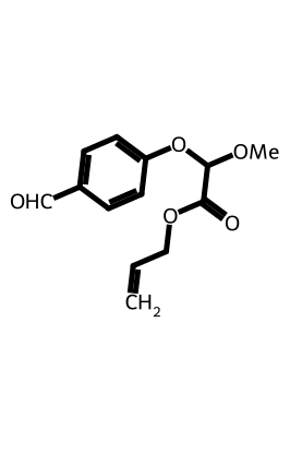 C=CCOC(=O)C(OC)Oc1ccc(C=O)cc1